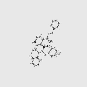 CN(CCc1ccccc1)c1ncnc(N2CCc3ccccc3C2)c1N(C)CCc1ccccc1.Cl